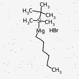 Br.CCCCC[CH2][Mg][Si](C)(C)C(C)(C)C